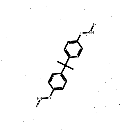 CC(C)(c1ccc(ONF)cc1)c1ccc(ONF)cc1